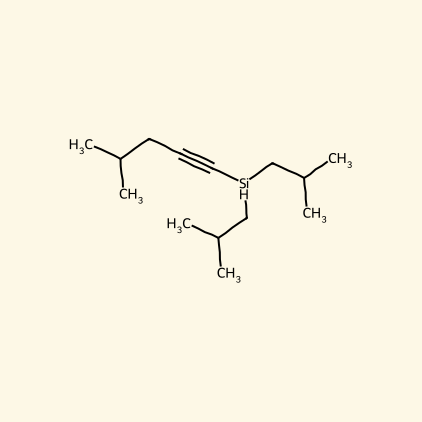 CC(C)CC#C[SiH](CC(C)C)CC(C)C